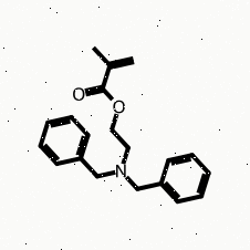 C=C(C)C(=O)OCCN(Cc1ccccc1)Cc1ccccc1